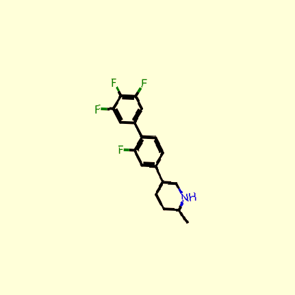 CC1CCC(c2ccc(-c3cc(F)c(F)c(F)c3)c(F)c2)CN1